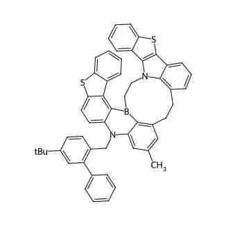 Cc1cc2c3c(c1)N(Cc1ccc(C(C)(C)C)cc1-c1ccccc1)c1ccc4sc5ccccc5c4c1B3CCn1c3c(cccc3c3sc4ccccc4c31)CC2